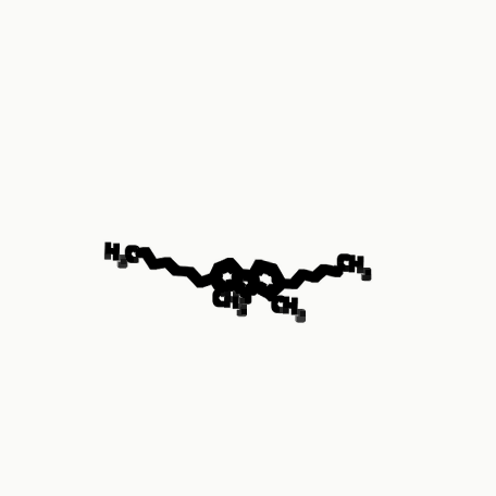 CCCCCCCc1ccc2c(sc3c(C)c(CCCCCC)ccc32)c1C